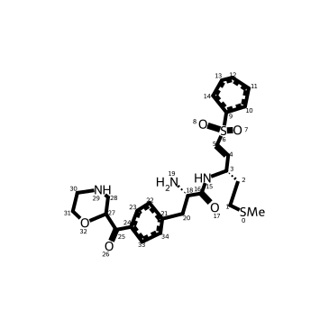 CSCC[C@@H](C=CS(=O)(=O)c1ccccc1)NC(=O)[C@@H](N)Cc1ccc(C(=O)C2CNCCO2)cc1